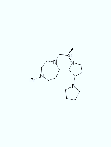 CC(C)N1CCCN(C[C@@H](C)N2CCC(N3CCCC3)C2)CC1